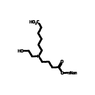 CCCCCCCCCOC(=O)CCCN(CCO)CCCCCC(=O)O